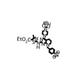 CCOC(=O)c1sc(Nc2nc(N3CCN(C(=O)OC(C)(C)C)CC3)c3c(n2)N(Cc2ccc(S(C)(=O)=O)cc2)CCC3)nc1C